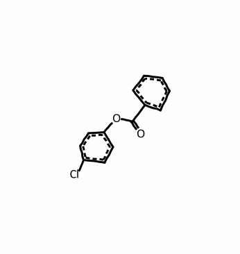 O=C(Oc1ccc(Cl)cc1)c1ccccc1